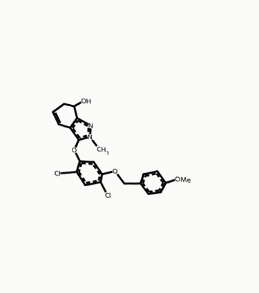 COc1ccc(COc2cc(Oc3c4c(nn3C)C(O)CC=C4)c(Cl)cc2Cl)cc1